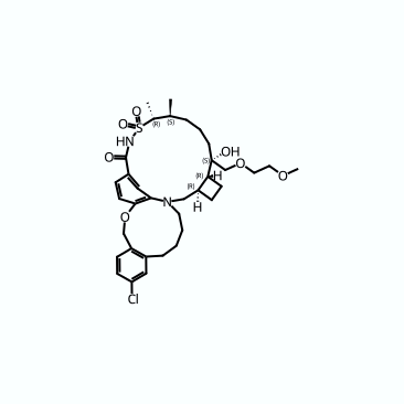 COCCOC[C@]1(O)CCC[C@H](C)[C@@H](C)S(=O)(=O)NC(=O)c2ccc3c(c2)N(CCCCc2cc(Cl)ccc2CO3)C[C@@H]2CC[C@H]21